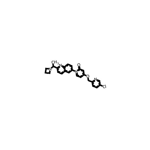 CC(c1ccc2cc(-n3ccc(OCc4ccc(Cl)cn4)cc3=O)ccc2n1)N1CCC1